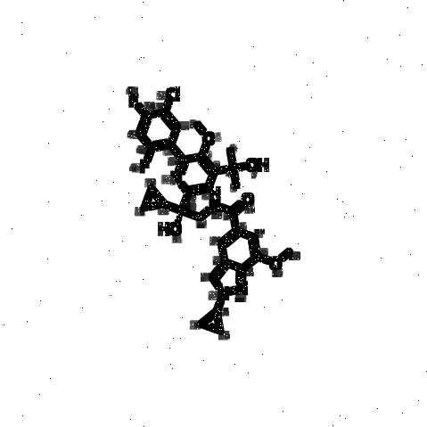 COc1c(C(C)(C)O)cc([C@@](O)(CNC(=O)c2cc(OC)c3nn(C4CC4)cc3c2)C2CC2)nc1-c1cc(Cl)c(F)cc1F